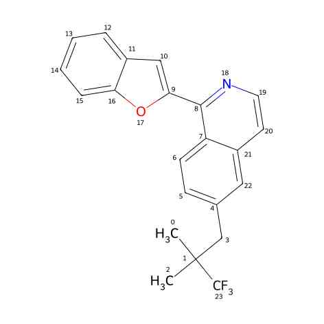 CC(C)(Cc1ccc2c(-c3cc4ccccc4o3)nccc2c1)C(F)(F)F